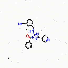 N#Cc1cccc(CNc2nc(-c3ccncc3)nn2C(=O)c2ccccc2)c1